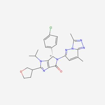 Cc1cc(N2C(=O)c3nc(C4CCOC4)n(C(C)C)c3[C@@H]2c2ccc(Cl)cc2)nn2c(C)nnc12